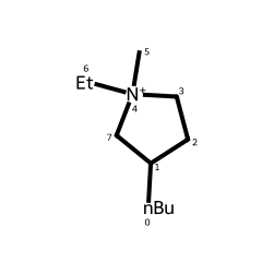 CCCCC1CC[N+](C)(CC)C1